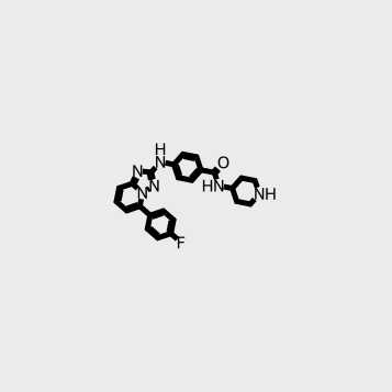 O=C(NC1CCNCC1)c1ccc(Nc2nc3cccc(-c4ccc(F)cc4)n3n2)cc1